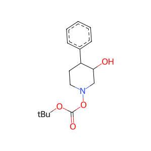 CC(C)(C)OC(=O)ON1CCC(c2ccccc2)C(O)C1